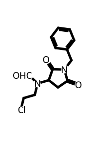 O=CN(CCCl)C1CC(=O)N(Cc2ccccc2)C1=O